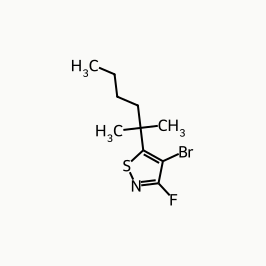 CCCCC(C)(C)c1snc(F)c1Br